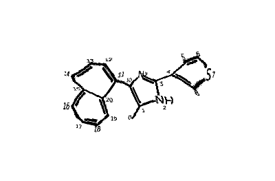 Cc1[nH]c(-c2ccsc2)nc1-c1cccc2ccccc12